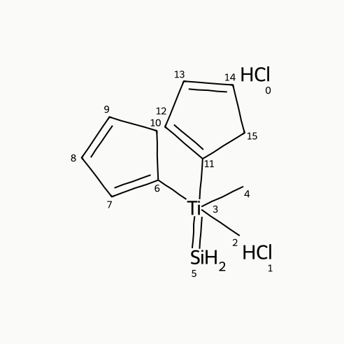 Cl.Cl.[CH3][Ti]([CH3])(=[SiH2])([C]1=CC=CC1)[C]1=CC=CC1